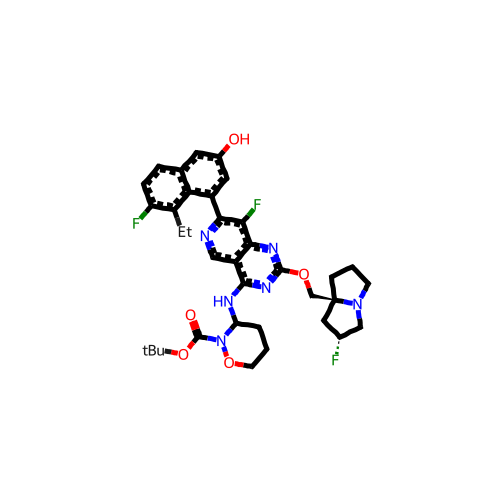 CCc1c(F)ccc2cc(O)cc(-c3ncc4c(NC5CCCON5C(=O)OC(C)(C)C)nc(OC[C@@]56CCCN5C[C@H](F)C6)nc4c3F)c12